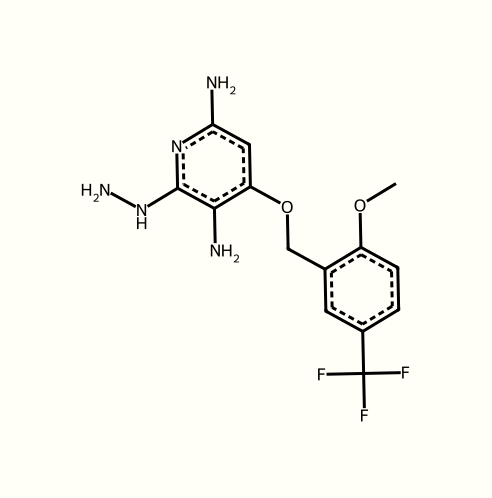 COc1ccc(C(F)(F)F)cc1COc1cc(N)nc(NN)c1N